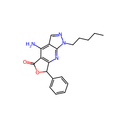 CCCCCn1ncc2c(N)c3c(nc21)C(c1ccccc1)OC3=O